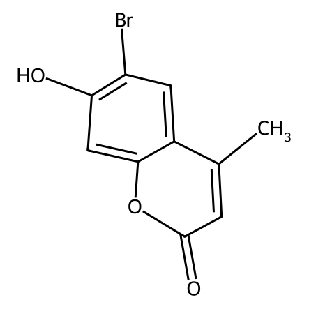 Cc1cc(=O)oc2cc(O)c(Br)cc12